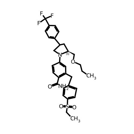 CCCOC[C@@H]1CC(c2ccc(C(F)(F)F)cc2)CN1c1ccc(C(N)=O)c(Cc2ccc(S(=O)(=O)CC)cc2)c1